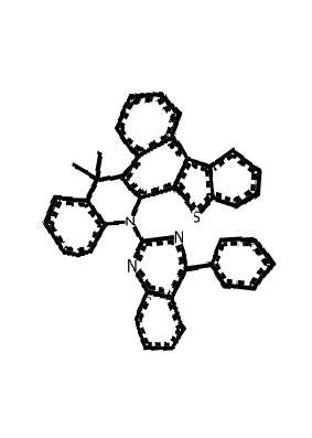 CC1(C)c2ccccc2N(c2nc(-c3ccccc3)c3ccccc3n2)c2c1c1ccccc1c1c2sc2ccccc21